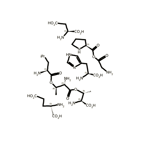 CC(C)C[C@H](N)C(=O)O[C@H](C)[C@H](N)C(=O)O[C@H](C)[C@H](N)C(=O)O.NCC(=O)OC(=O)[C@@H]1CCCN1.N[C@@H](CC(=O)O)C(=O)O.N[C@@H](CCC(=O)O)C(=O)O.N[C@@H](Cc1c[nH]cn1)C(=O)O